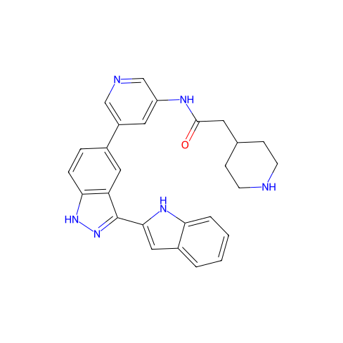 O=C(CC1CCNCC1)Nc1cncc(-c2ccc3[nH]nc(-c4cc5ccccc5[nH]4)c3c2)c1